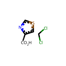 ClCCl.O=C(O)c1cscn1